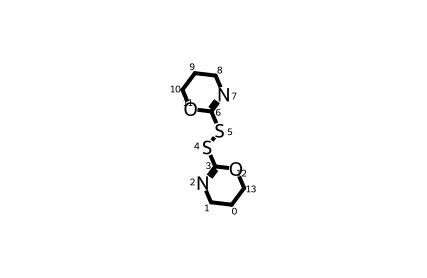 C1CN=C(SSC2=NCCCO2)OC1